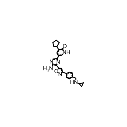 Nc1ncc(-c2c[nH]c(=O)c(C3CCCC3)c2)nc1-c1cc(-c2ccc(CNC3CC3)cc2)no1